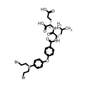 CC(C)C[C@H](NC(=O)c1ccc(Oc2ccc(N(CCBr)CCBr)cc2)cc1)C(=O)N[C@@H](CCC(=O)O)C(=O)O